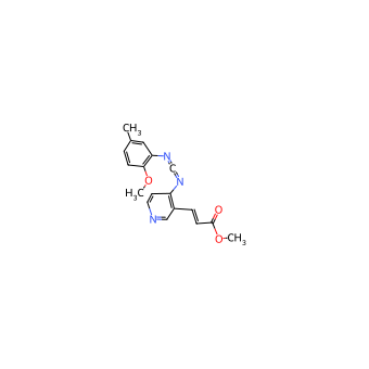 COC(=O)/C=C/c1cnccc1N=C=Nc1cc(C)ccc1OC